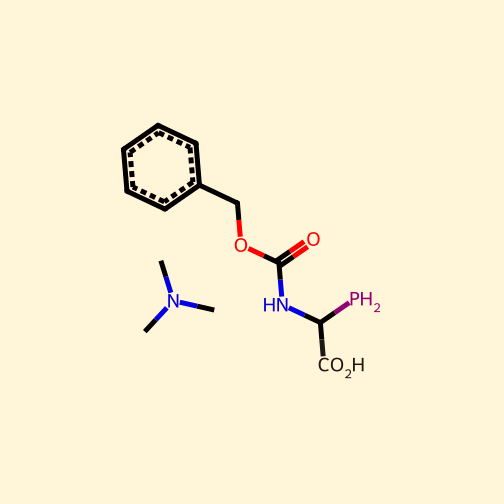 CN(C)C.O=C(NC(P)C(=O)O)OCc1ccccc1